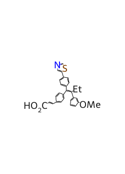 CCC(=C(c1ccc(C=CC(=O)O)cc1)c1ccc(-c2cncs2)cc1)c1cccc(OC)c1